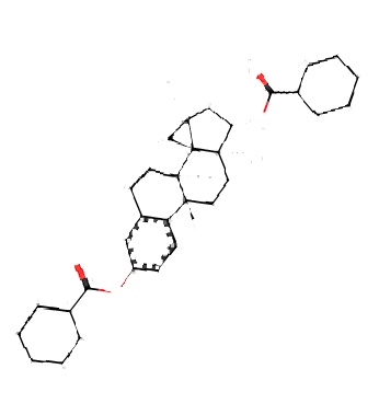 C[C@]12CC[C@@H]3c4ccc(OC(=O)C5CCCCC5)cc4CC[C@H]3[C@@]13C[C@H]3C[C@@H]2OC(=O)C1CCCCC1